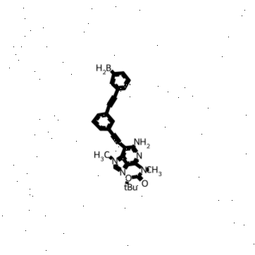 Bc1cccc(C#Cc2cccc(C#Cc3c(N)nc(N(C)C(=O)OC(C)(C)C)c4ncn(C)c34)c2)c1